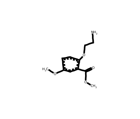 COC(=O)c1cc(OC)ccc1OCCN